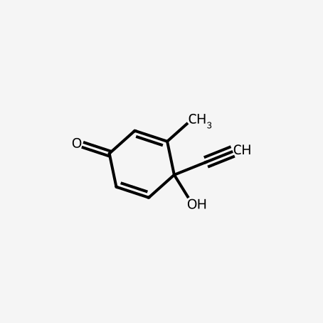 C#CC1(O)C=CC(=O)C=C1C